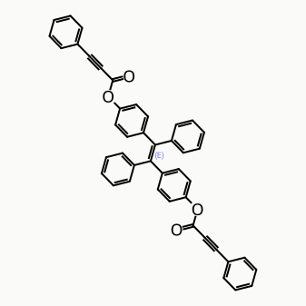 O=C(C#Cc1ccccc1)Oc1ccc(/C(=C(\c2ccccc2)c2ccc(OC(=O)C#Cc3ccccc3)cc2)c2ccccc2)cc1